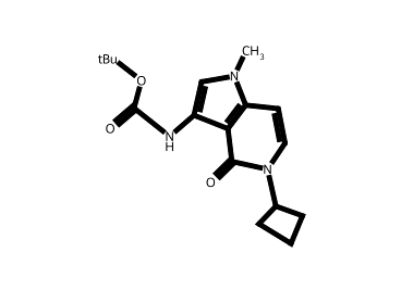 Cn1cc(NC(=O)OC(C)(C)C)c2c(=O)n(C3CCC3)ccc21